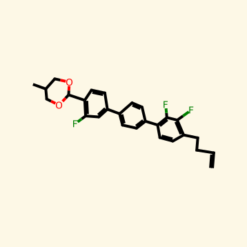 C=CCCc1ccc(-c2ccc(-c3ccc(C4OCC(C)CO4)c(F)c3)cc2)c(F)c1F